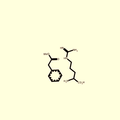 COC(=O)Cc1ccccc1.N=C(N)NCCCC(N)C(=O)O